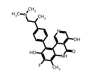 Cc1c(F)c(O)c(-c2ccc(C(C)CN(C)C)cc2)c2c1[nH]c(=O)c1c(O)cncc12